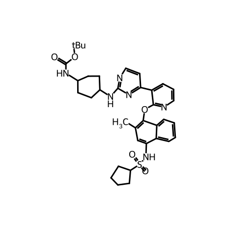 Cc1cc(NS(=O)(=O)C2CCCC2)c2ccccc2c1Oc1ncccc1-c1ccnc(NC2CCC(NC(=O)OC(C)(C)C)CC2)n1